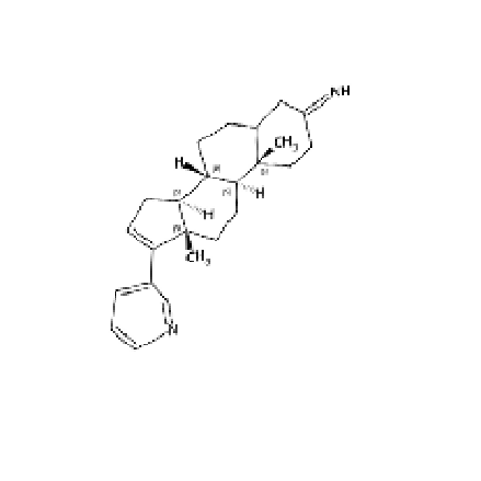 C[C@]12CCC(=N)CC1CC[C@@H]1[C@@H]2CC[C@]2(C)C(c3cccnc3)=CC[C@@H]12